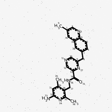 Cc1cnc2ccc(Cc3cncc(C(=O)NCc4c(C)cc(N)nc4C)n3)cc2c1